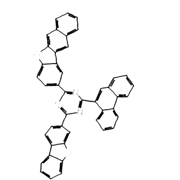 c1ccc2cc3c(cc2c1)oc1ccc(-c2nc(-c4ccc5c(c4)oc4ccccc45)nc(-c4cc5ccccc5c5ccccc45)n2)cc13